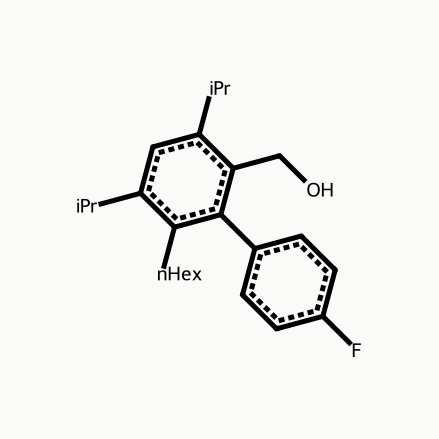 CCCCCCc1c(C(C)C)cc(C(C)C)c(CO)c1-c1ccc(F)cc1